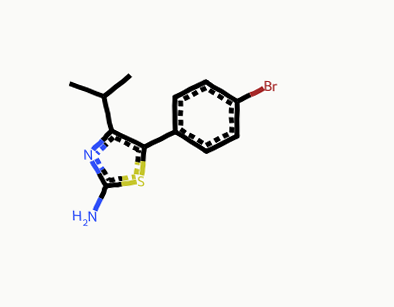 CC(C)c1nc(N)sc1-c1ccc(Br)cc1